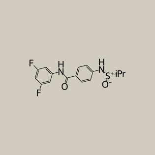 CC(C)[S+]([O-])Nc1ccc(C(=O)Nc2cc(F)cc(F)c2)cc1